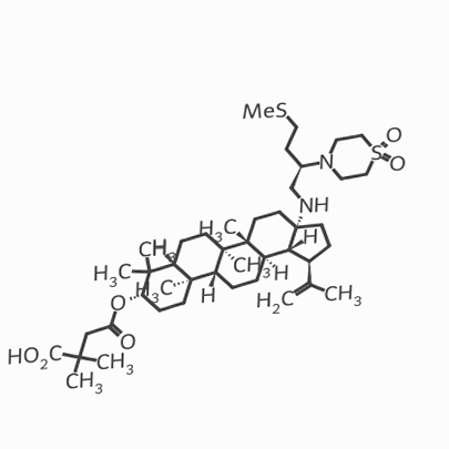 C=C(C)[C@@H]1CC[C@]2(NC[C@@H](CCSC)N3CCS(=O)(=O)CC3)CC[C@]3(C)[C@H](CC[C@@H]4[C@@]5(C)CC[C@H](OC(=O)CC(C)(C)C(=O)O)C(C)(C)[C@@H]5CC[C@]43C)[C@@H]12